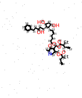 C#CCC(CC)C(=O)OCc1cnc(C)c(OC(=O)CCC/C=C\C[C@@H]2[C@@H](CC[C@@H](O)CCc3ccccc3)[C@H](O)C[C@@H]2O)c1COC(=O)C(CC)CC#C